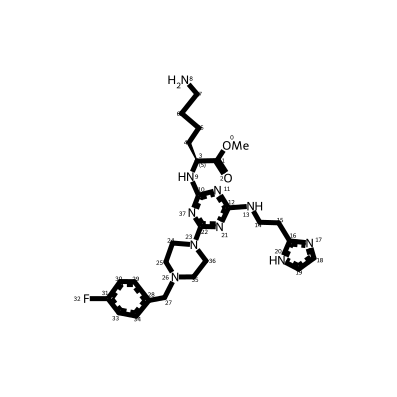 COC(=O)[C@H](CCCCN)Nc1nc(NCCc2ncc[nH]2)nc(N2CCN(Cc3ccc(F)cc3)CC2)n1